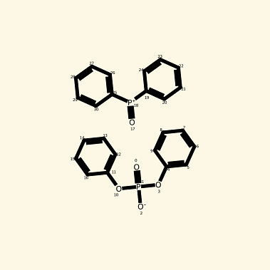 O=P([O-])(Oc1ccccc1)Oc1ccccc1.O=[P+](c1ccccc1)c1ccccc1